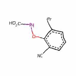 CC(C)c1cccc(C#N)c1OPC(=O)O